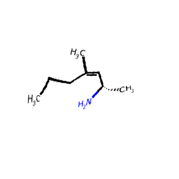 CCC/C(C)=C\[C@H](C)N